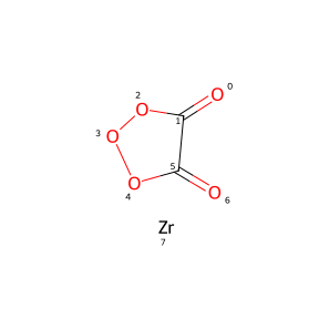 O=c1oooc1=O.[Zr]